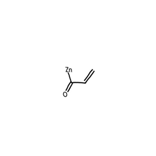 C=C[C](=O)[Zn]